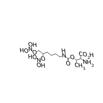 CC(OC(=O)NCCCCC(CON(O)O)ON(O)O)C(N)C(=O)O